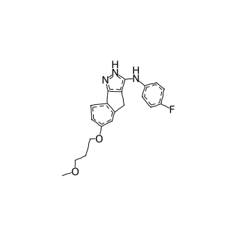 COCCCOc1ccc2c(c1)Cc1c-2n[nH]c1Nc1ccc(F)cc1